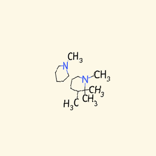 CC1CCCN(C)C1(C)C.CN1CCCCC1